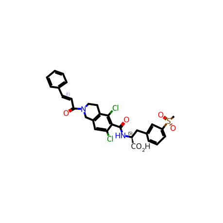 CS(=O)(=O)c1cccc(C[C@H](NC(=O)c2c(Cl)cc3c(c2Cl)CCN(C(=O)/C=C/c2ccccc2)C3)C(=O)O)c1